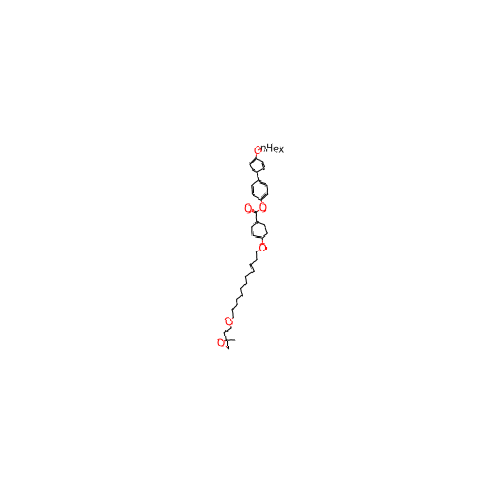 CCCCCCOc1ccc(-c2ccc(OC(=O)C3CCC(OCCCCCCCCCCCCOCCC4(C)CO4)CC3)cc2)cc1